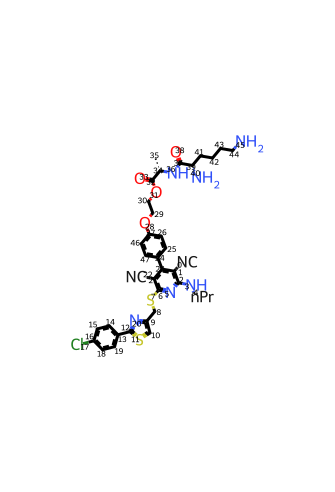 [C-]#[N+]c1c(NCCC)nc(SCc2csc(-c3ccc(Cl)cc3)n2)c(C#N)c1-c1ccc(OCCOC(=O)[C@H](C)NC(=O)[C@@H](N)CCCCN)cc1